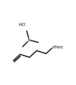 C=CCCCCCCCC.CN(C)C.Cl